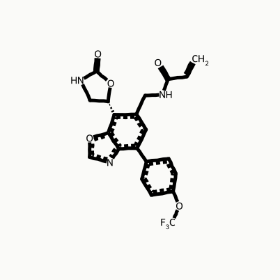 C=CC(=O)NCc1cc(-c2ccc(OC(F)(F)F)cc2)c2ncoc2c1[C@@H]1CNC(=O)O1